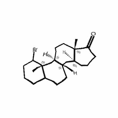 C[C@]12C(Br)CCCC1CC[C@@H]1[C@@H]2CC[C@]2(C)C(=O)CC[C@@H]12